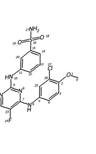 COc1ccc(Nc2nc(Nc3cccc(S(N)(=O)=O)c3)ncc2F)cc1Cl